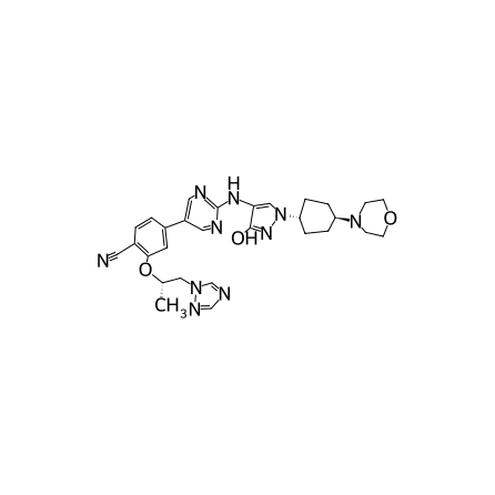 C[C@@H](Cn1cncn1)Oc1cc(-c2cnc(Nc3cn([C@H]4CC[C@H](N5CCOCC5)CC4)nc3O)nc2)ccc1C#N